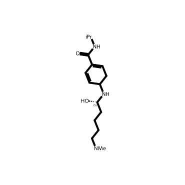 CNCCCC[C@H](O)NC1C=CC(C(=O)NC(C)C)=CC1